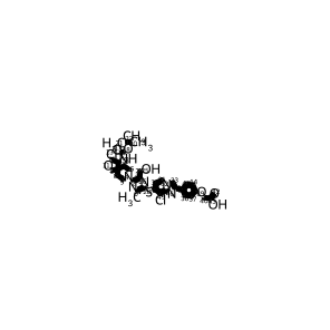 Cc1nc(N2CCC3(CC2)CO[C@@H](C)[C@H]3NC(=O)OC(C)(C)C)c(CO)nc1Sc1ccn2cc(-c3ccc(OCC(=O)O)cc3)nc2c1Cl